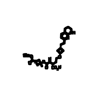 CC(C)(C)OC(=O)N1CC(C)(OC(=O)N[C@@H](CCO[C@H]2C[C@H](CCc3ccc4c(n3)NCCC4)C2)C(=O)O)C1